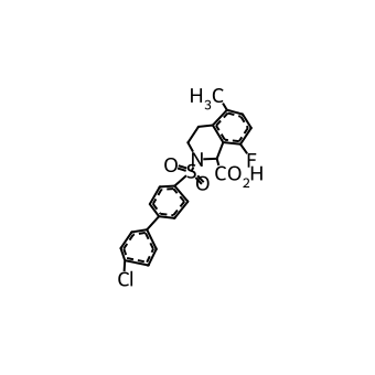 Cc1ccc(F)c2c1CCN(S(=O)(=O)c1ccc(-c3ccc(Cl)cc3)cc1)C2C(=O)O